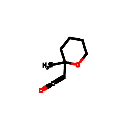 O=C=CC1([SiH3])CCCCO1